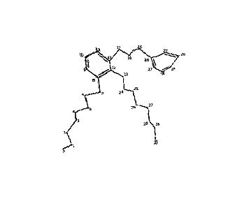 CCCCCCCCc1cccc(CCCc2ccccc2)c1CCCCCCCC